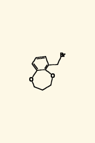 BrCc1cccc2c1OCCCO2